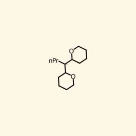 CCC[C](C1CCCCO1)C1CCCCO1